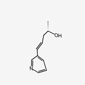 C[C@H](O)CC=Cc1cccnc1